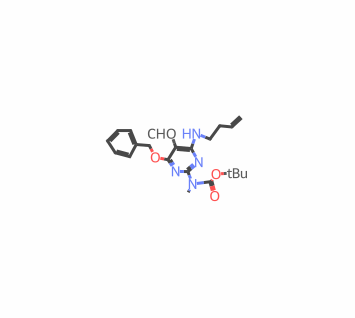 C=CCCNc1nc(N(C)C(=O)OC(C)(C)C)nc(OCc2ccccc2)c1C=O